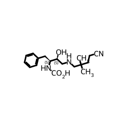 CC(C)(CCC#N)CNC[C@H](O)[C@H](Cc1ccccc1)NC(=O)O